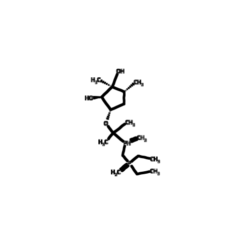 C=[PH](CP(=C)(CC)CC)C(C)(C)O[C@H]1C[C@@H](C)[C@](C)(O)[C@@H]1O